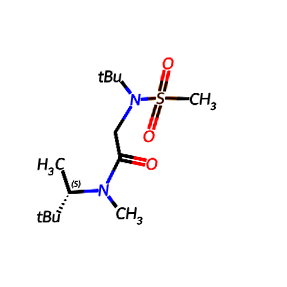 C[C@H](N(C)C(=O)CN(C(C)(C)C)S(C)(=O)=O)C(C)(C)C